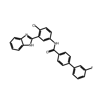 O=C(Nc1ccc(Cl)c(-c2nc3ccccc3[nH]2)c1)c1ccc(-c2cccc(F)c2)cc1